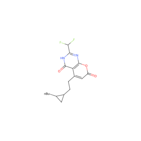 CCCCC1CC1CCc1cc(=O)oc2nc(C(F)F)[nH]c(=O)c12